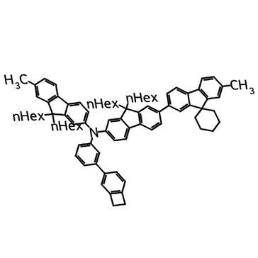 CCCCCCC1(CCCCCC)c2cc(C)ccc2-c2ccc(N(c3cccc(-c4ccc5c(c4)CC5)c3)c3ccc4c(c3)C(CCCCCC)(CCCCCC)c3cc(-c5ccc6c(c5)C5(CCCCC5)c5cc(C)ccc5-6)ccc3-4)cc21